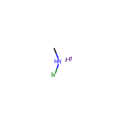 CNBr.I